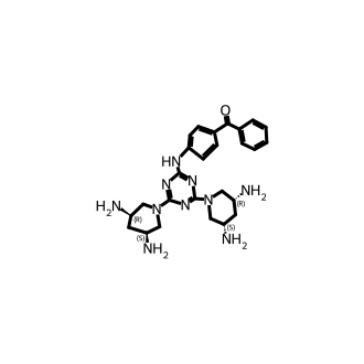 N[C@@H]1C[C@H](N)CN(c2nc(Nc3ccc(C(=O)c4ccccc4)cc3)nc(N3C[C@H](N)C[C@H](N)C3)n2)C1